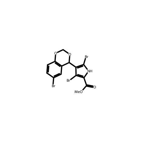 COC(=O)c1[nH]c(Br)c(C2OCOc3ccc(Br)cc32)c1Br